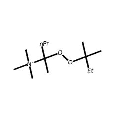 CCCC(C)(OOC(C)(C)CC)[N+](C)(C)C